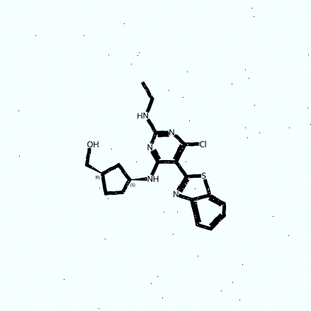 CCNc1nc(Cl)c(-c2nc3ccccc3s2)c(N[C@H]2CC[C@@H](CO)C2)n1